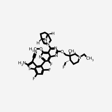 CCN1CC[C@H](CF)[C@](C)(COc2nc(N3C[C@H]4CC[C@@H](C3)N4)c3c(OC)nc(-c4c(F)cc(F)c5sc(N)c(C#N)c45)c(F)c3n2)C1